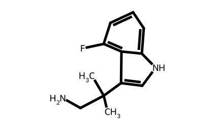 CC(C)(CN)c1c[nH]c2cccc(F)c12